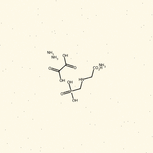 N.N.N.O=C(O)C(=O)O.O=C(O)CNCP(=O)(O)O